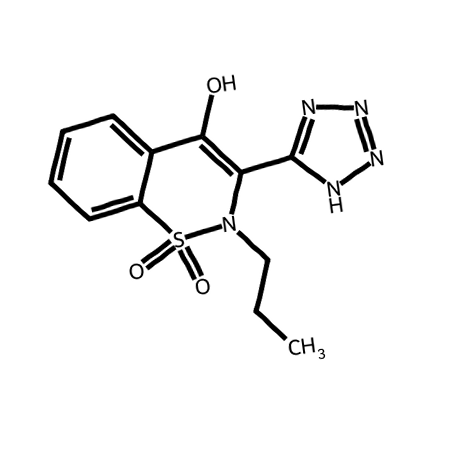 CCCN1C(c2nnn[nH]2)=C(O)c2ccccc2S1(=O)=O